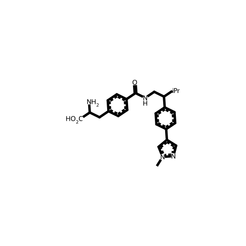 CC(C)C(CNC(=O)c1ccc(CC(N)C(=O)O)cc1)c1ccc(-c2cnn(C)c2)cc1